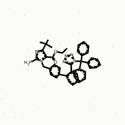 CCOC(=O)c1c(C(C)(C)C)nc(P)n1Cc1ccc(-c2ccccc2-c2nnnn2C(c2ccccc2)(c2ccccc2)c2ccccc2)cc1